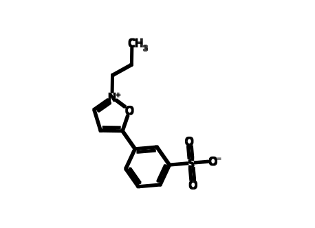 CCC[n+]1ccc(-c2cccc(S(=O)(=O)[O-])c2)o1